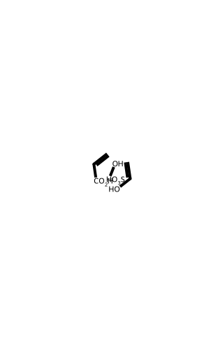 C=CC(=O)O.C=CO.O=S(=O)(O)O